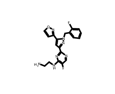 NCCNc1nc(-c2cc(-c3ccon3)n(Cc3ccccc3F)n2)ncc1F